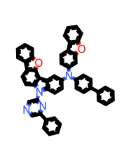 c1ccc(-c2ccc(N(c3ccc4c(c3)oc3ccccc34)c3ccc4c(c3)c3c5oc6ccccc6c5ccc3n4-c3cncc(-c4ccccc4)n3)cc2)cc1